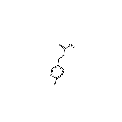 NC(=O)[N]Cc1ccc(Cl)cc1